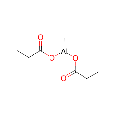 CCC(=O)[O][Al]([CH3])[O]C(=O)CC